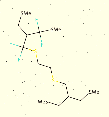 CSCC(CSC)CSCCSC(F)(F)C(CSC)C(F)(F)SC